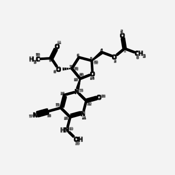 CC(=O)OC[C@@H]1C[C@@H](OC(C)=O)[C@H](n2cc(C#N)c(NO)nc2=O)O1